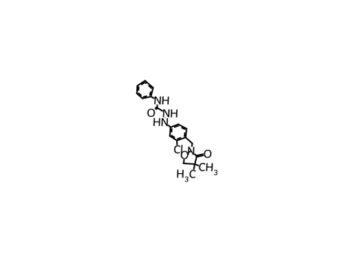 CC1(C)CON(Cc2ccc(NNC(=O)Nc3ccccc3)cc2Cl)C1=O